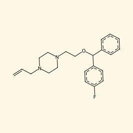 C=CCN1CCN(CCOC(c2ccccc2)c2ccc(F)cc2)CC1